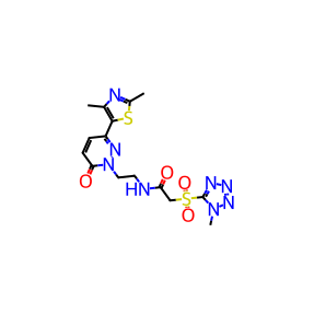 Cc1nc(C)c(-c2ccc(=O)n(CCNC(=O)CS(=O)(=O)c3nnnn3C)n2)s1